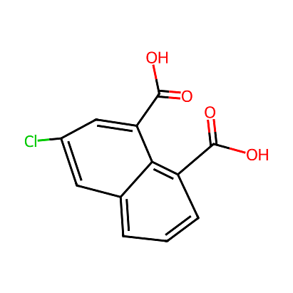 O=C(O)c1cccc2cc(Cl)cc(C(=O)O)c12